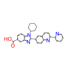 O=C(O)c1ccc2c(c1)nc(-c1ccc3nc(-c4ccccn4)ccc3c1)n2C1CCCCC1